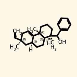 C=C[C@@]1(C)CC=C2[C@@H](CC[C@H]3[C@@]2(C)CCC[C@@]3(C)C(O)c2ccccc2)C1